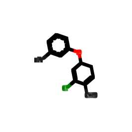 CCCc1cccc(OC2C=C(Cl)C(C=O)=CC2)c1